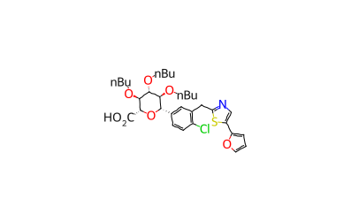 CCCCO[C@@H]1[C@@H](OCCCC)[C@H](c2ccc(Cl)c(Cc3ncc(-c4ccco4)s3)c2)O[C@H](C(=O)O)[C@H]1OCCCC